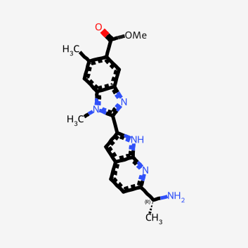 COC(=O)c1cc2nc(-c3cc4ccc([C@@H](C)N)nc4[nH]3)n(C)c2cc1C